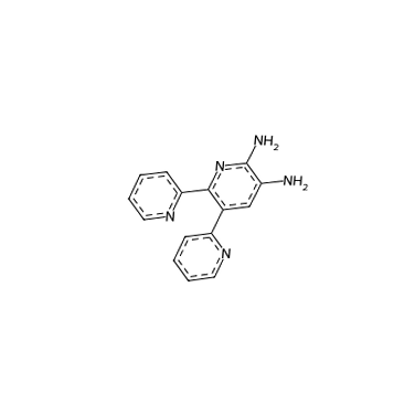 Nc1cc(-c2ccccn2)c(-c2ccccn2)nc1N